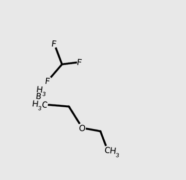 B.CCOCC.FC(F)F